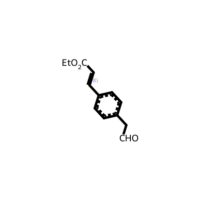 CCOC(=O)/C=C/c1ccc(CC=O)cc1